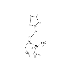 CCN(CCN1CCCC1)N(C)C